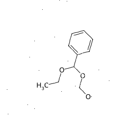 CCOC(OC[O])c1ccccc1